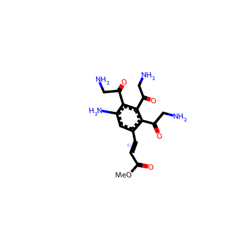 COC(=O)/C=C/c1cc(N)c(C(=O)CN)c(C(=O)CN)c1C(=O)CN